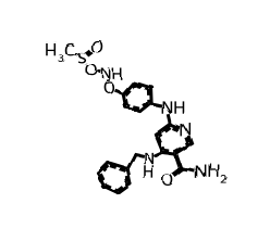 CS(=O)ONOc1ccc(Nc2cc(NCc3ccccc3)c(C(N)=O)cn2)cc1